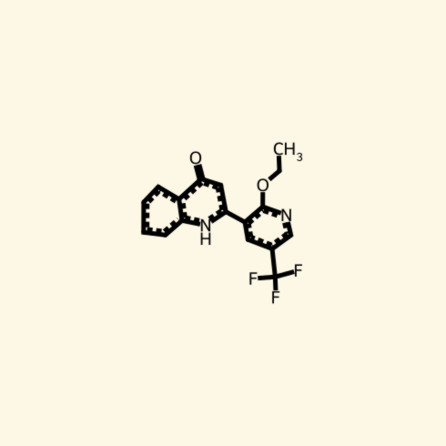 CCOc1ncc(C(F)(F)F)cc1-c1cc(=O)c2ccccc2[nH]1